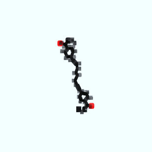 CC(=O)c1ccc(C#CCCCCC#Cc2ccc(C(C)=O)cc2)cc1